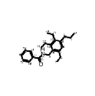 CC[C]c1cc(CC)c(CNC(=O)c2ccccc2)c(CC)c1CC